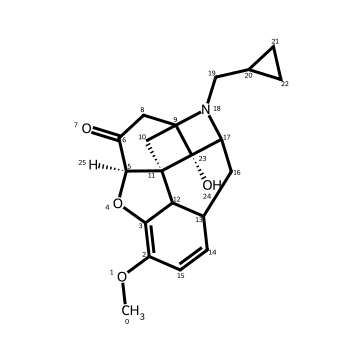 COC1=C2O[C@H]3C(=O)CC45C[C@]36C2C(C=C1)CC(N4CC1CC1)[C@]56O